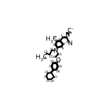 [C-]#[N+]/C(C#N)=C/c1ccc(N(CCCC)CCOc2ccc(C3CCCCC3)cc2)cc1C